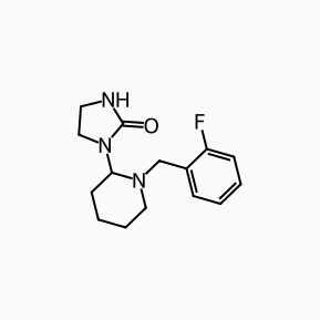 O=C1NCCN1C1CCCCN1Cc1ccccc1F